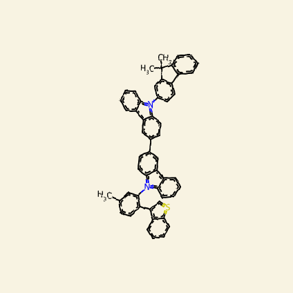 Cc1ccc(-c2csc3ccccc23)c(-n2c3ccccc3c3cc(-c4ccc5c(c4)c4ccccc4n5-c4ccc5c(c4)C(C)(C)c4ccccc4-5)ccc32)c1